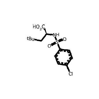 CC(C)(C)C[C@H](NS(=O)(=O)c1ccc(Cl)cc1)C(=O)O